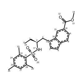 CC[C@@H](Cn1ccc2ccc(C(=O)OC)cc21)NS(=O)(=O)c1c(C)cc(C)cc1C